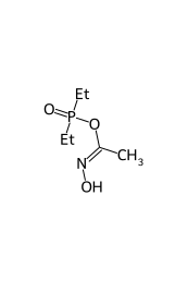 CCP(=O)(CC)OC(C)=NO